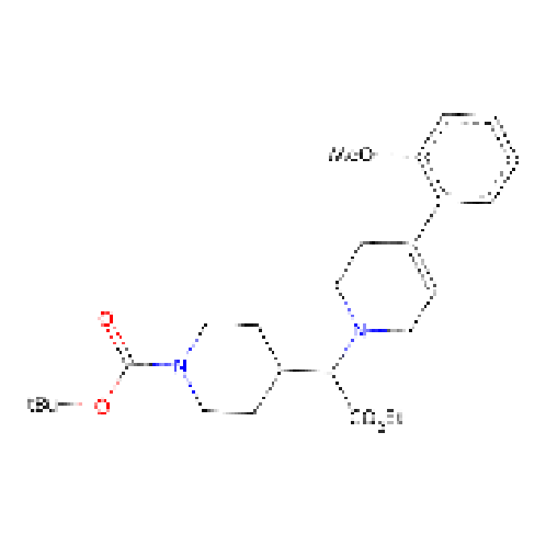 CCOC(=O)C(C1CCN(C(=O)OC(C)(C)C)CC1)N1CC=C(c2ccccc2OC)CC1